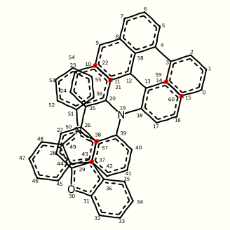 c1ccc(-c2cccc3cccc(-c4ccccc4N(c4ccccc4-c4ccc5oc6ccccc6c5c4)c4cccc5c6ccccc6n(-c6ccccc6)c45)c23)cc1